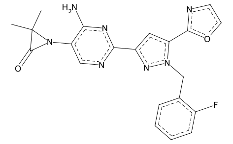 CC1(C)C(=O)N1c1cnc(-c2cc(-c3ncco3)n(Cc3ccccc3F)n2)nc1N